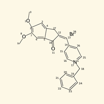 COc1cc2c(cc1OC)C(=O)C(=Cc1cc[n+](Cc3ccccc3)cc1)C2.[Br-]